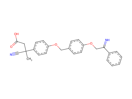 CC(C#N)(CC(=O)O)c1ccc(OCc2ccc(OCC(=N)c3ccccc3)cc2)cc1